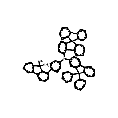 CC1(C)c2ccccc2-c2cccc(-c3ccc(N(c4ccc5c(c4)C(c4ccccc4)(c4ccccc4)c4ccccc4-5)c4cccc5c4-c4ccccc4C54c5ccccc5-c5ccccc54)cc3)c21